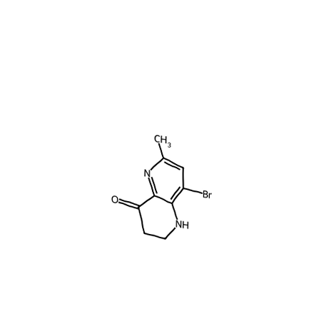 Cc1cc(Br)c2c(n1)C(=O)CCN2